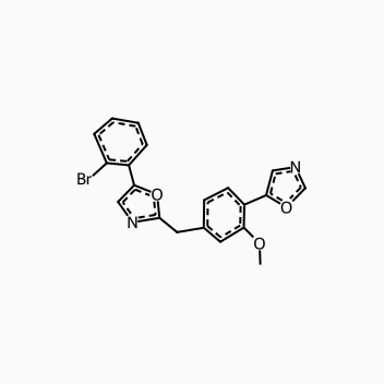 COc1cc(Cc2ncc(-c3ccccc3Br)o2)ccc1-c1cnco1